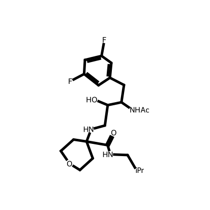 CC(=O)NC(Cc1cc(F)cc(F)c1)C(O)CNC1(C(=O)NCC(C)C)CCOCC1